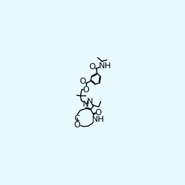 CCc1nn(CC(C)(C)COC(=O)c2cccc(C(=O)NC(C)C)c2)c2c1C(=O)NCCCOCCC2